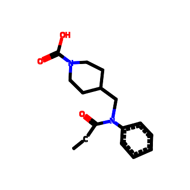 CCC(=O)N(CC1CCN(C(=O)O)CC1)c1ccccc1